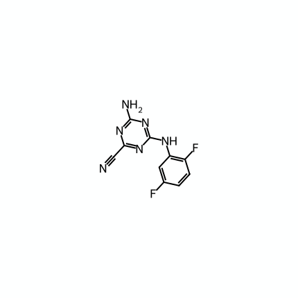 N#Cc1nc(N)nc(Nc2cc(F)ccc2F)n1